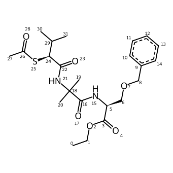 CCOC(=O)[C@H](COCc1ccccc1)NC(=O)C(C)(C)NC(=O)[C@@H](SC(C)=O)C(C)C